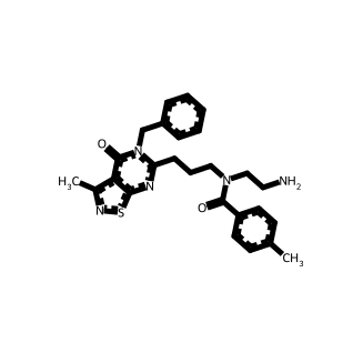 Cc1ccc(C(=O)N(CCN)CCCc2nc3snc(C)c3c(=O)n2Cc2ccccc2)cc1